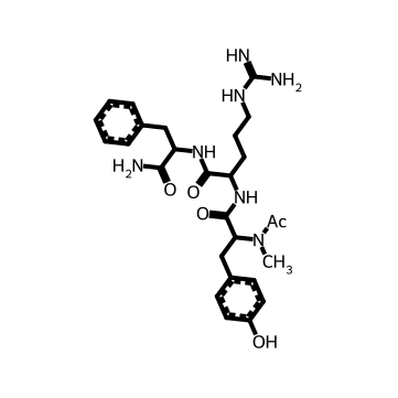 CC(=O)N(C)C(Cc1ccc(O)cc1)C(=O)NC(CCCNC(=N)N)C(=O)NC(Cc1ccccc1)C(N)=O